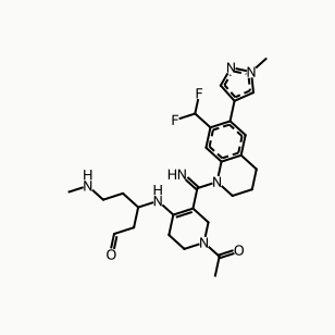 CNCCC(CC=O)NC1=C(C(=N)N2CCCc3cc(-c4cnn(C)c4)c(C(F)F)cc32)CN(C(C)=O)CC1